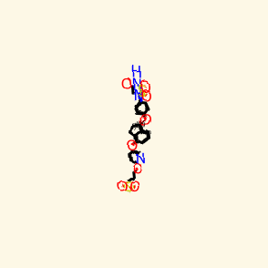 CS(=O)(=O)CCCOc1ccc(Oc2cccc3c2CC[C@H]3Oc2ccc(N3CC(=O)NS3(=O)=O)cc2)cn1